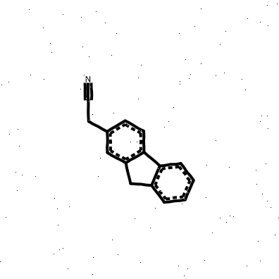 N#CCc1ccc2c(c1)Cc1ccccc1-2